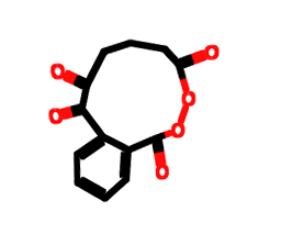 O=C1CCCC(=O)C(=O)c2ccccc2C(=O)OO1